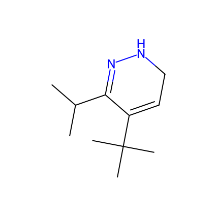 CC(C)C1=NNCC=C1C(C)(C)C